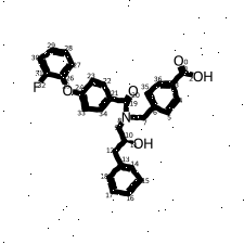 O=C(O)c1ccc(CN(C[C@@H](O)Cc2ccccc2)C(=O)c2ccc(Oc3ccccc3F)cc2)cc1